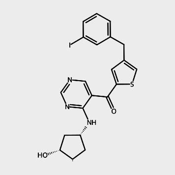 O=C(c1cc(Cc2cccc(I)c2)cs1)c1cncnc1N[C@@H]1C[CH][C@H](O)C1